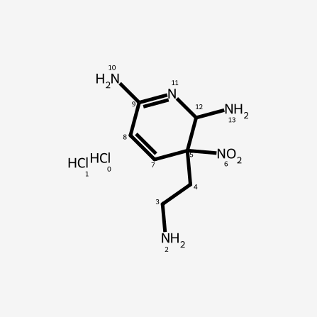 Cl.Cl.NCCC1([N+](=O)[O-])C=CC(N)=NC1N